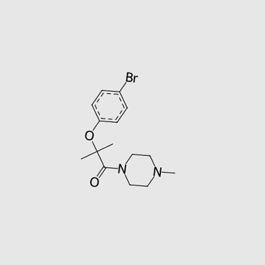 CN1CCN(C(=O)C(C)(C)Oc2ccc(Br)cc2)CC1